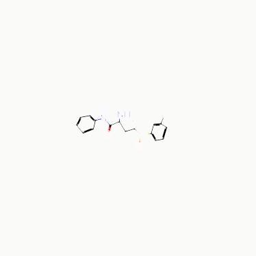 CCCCc1cccc([S+]([O-])CCC(N)C(=O)Nc2ccccc2)c1